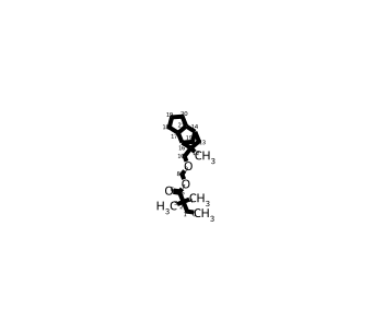 CCC(C)(C)C(=O)OCOCC1(C)CC2CC1C1CCCC21